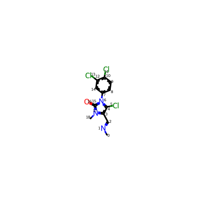 CN=Cc1c(Cl)n(-c2ccc(Cl)c(Cl)c2)c(=O)n1C